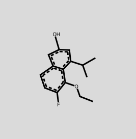 CCOc1c(F)ccc2cc(O)cc(C(C)C)c12